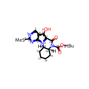 CSc1ncc2c(O)c3n(c2n1)[C@@H]1CCCC[C@H]1N(C(=O)OC(C)(C)C)C3=O